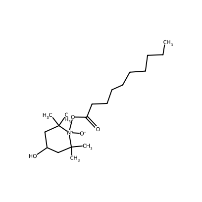 CCCCCCCCCC(=O)O[N+]1([O-])C(C)(C)CC(O)CC1(C)C